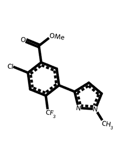 COC(=O)c1cc(-c2ccn(C)n2)c(C(F)(F)F)cc1Cl